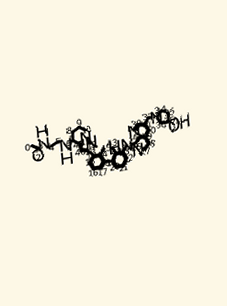 CC(=O)NCCNC1CCCn2nc(-c3cccc(-c4cccc(Nc5nccc6cc(CN7CC[C@@H](O)C7)cnc56)c4C)c3C)cc21